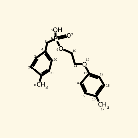 Cc1ccc(CP(=O)(O)OCCOc2ccc(C)cc2)cc1